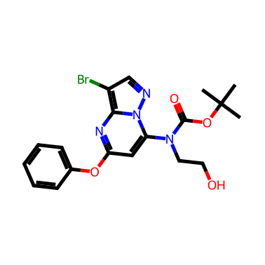 CC(C)(C)OC(=O)N(CCO)c1cc(Oc2ccccc2)nc2c(Br)cnn12